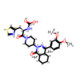 COc1ccc(C2=NN(C3CCN(C(=O)[C@@H](Cc4cscn4)NC(=O)O)CC3)C(=O)[C@@H]3CCCC[C@H]23)cc1OC